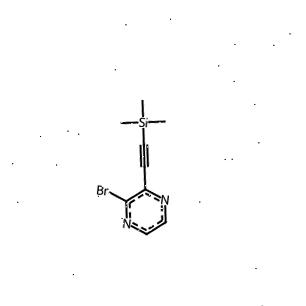 C[Si](C)(C)C#Cc1nccnc1Br